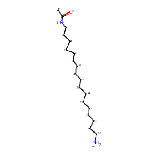 CC(=O)NCCCCCCCCCCCCCCCCCN